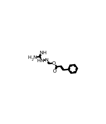 N=C(N)NN=COC(=O)C=Cc1ccccc1